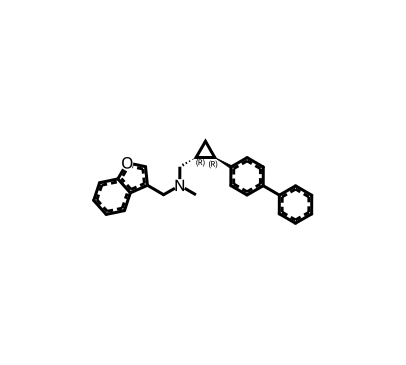 CN(Cc1coc2ccccc12)C[C@@H]1C[C@H]1c1ccc(-c2ccccc2)cc1